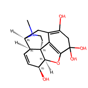 CN1CC[C@]23C4=C5O[C@H]2[C@@H](O)C=C[C@H]3[C@H]1CC4=C(O)CC5(O)O